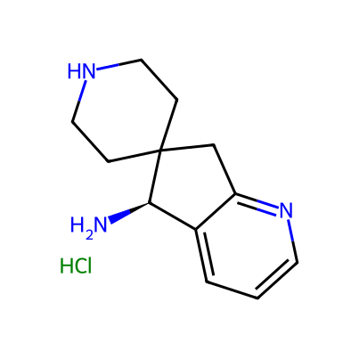 Cl.N[C@@H]1c2cccnc2CC12CCNCC2